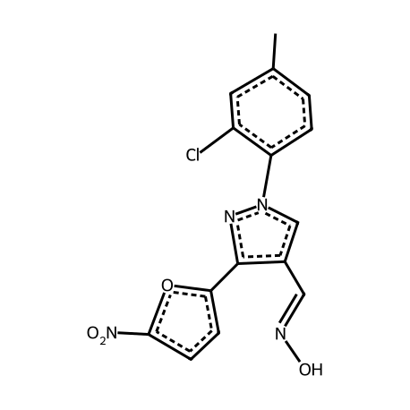 Cc1ccc(-n2cc(C=NO)c(-c3ccc([N+](=O)[O-])o3)n2)c(Cl)c1